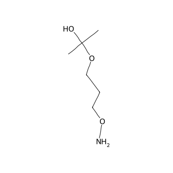 CC(C)(O)OCCCON